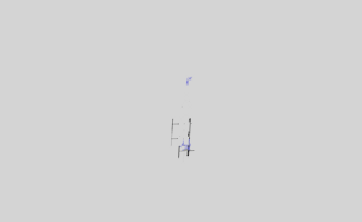 CCC/C=C/C1CCC(c2ccc(-c3cc(F)c(-c4cc(F)c(/C=C/C(F)(F)F)c(F)c4)c(F)c3)cc2)CC1